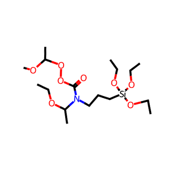 CCOC(C)N(CCC[Si](OCC)(OCC)OCC)C(=O)OOC(C)OC